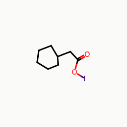 O=C(CC1CCCCC1)OI